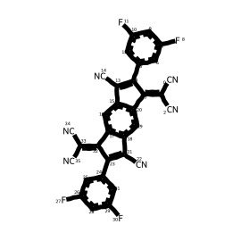 N#CC(C#N)=C1C(c2cc(F)cc(F)c2)=C(C#N)c2cc3c(cc21)C(C#N)=C(c1cc(F)cc(F)c1)C3=C(C#N)C#N